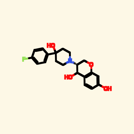 Oc1ccc2c(c1)OC[C@@H](N1CCC(O)(c3ccc(F)cc3)CC1)C2O